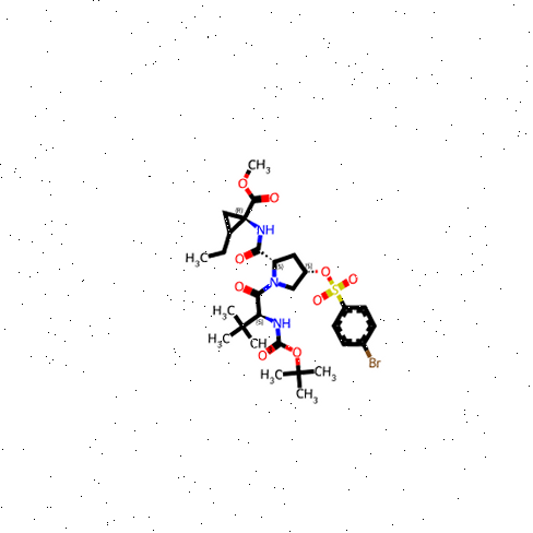 CCC1C[C@]1(NC(=O)[C@@H]1C[C@H](OS(=O)(=O)c2ccc(Br)cc2)CN1C(=O)[C@@H](NC(=O)OC(C)(C)C)C(C)(C)C)C(=O)OC